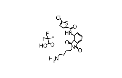 NCCCCN1C(=O)c2cccc(NC(=O)c3ccc(Cl)s3)c2C1=O.O=C(O)C(F)(F)F